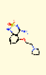 NC1=NS(=O)(=O)Nc2cccc(OCCN3CCCC3)c21